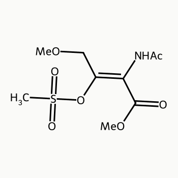 COC/C(OS(C)(=O)=O)=C(\NC(C)=O)C(=O)OC